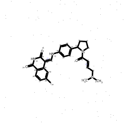 CN(C)C/C=C/C(=O)N1CCCC1c1ccc(N/C=C2\C(=O)NC(=O)c3ccc(I)cc32)cc1